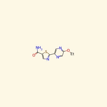 CCOc1cnc(-c2ncc(C(N)=O)s2)cn1